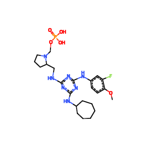 COc1ccc(Nc2nc(NCC3CCCN3COP(=O)(O)O)nc(NC3CCCCCC3)n2)cc1F